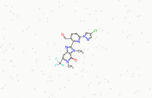 Cn1c(C(F)(F)F)cc2nc(-c3nc(-n4cc(Cl)cn4)ccc3C=O)n(C)c2c1=O